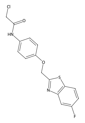 O=C(CCl)Nc1ccc(OCc2nc3cc(F)ccc3s2)cc1